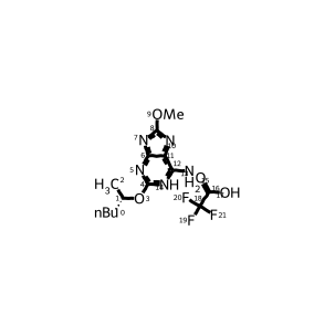 CCCC[C@H](C)Oc1nc2nc(OC)nc-2c(N)[nH]1.O=C(O)C(F)(F)F